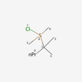 CCCC(C)(C)S(C)(C)Cl